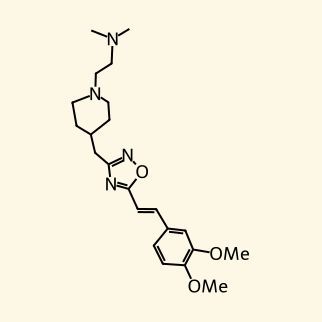 COc1ccc(/C=C/c2nc(CC3CCN(CCN(C)C)CC3)no2)cc1OC